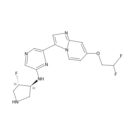 FC(F)COc1ccn2c(-c3cncc(N[C@H]4CNC[C@@H]4F)n3)cnc2c1